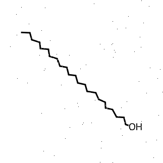 CCCCCCCCCCCCCCCCCCCCCCCO